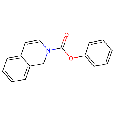 O=C(Oc1ccccc1)N1C=Cc2ccccc2C1